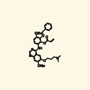 C=CC(=O)Oc1c(Nc2ncnc3cc(OC)c(OCCCN(C)C)cc23)ccc(OC)c1OCc1ccccc1